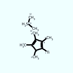 CC1=C(C)C(C)[C]([Ti])=C1C.C[SiH2]C